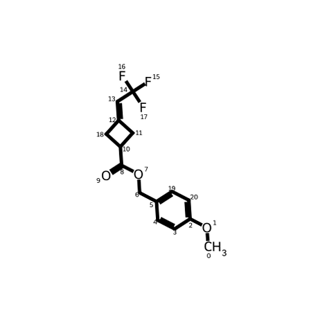 COc1ccc(COC(=O)C2CC(=CC(F)(F)F)C2)cc1